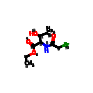 CCOC(=O)C(NC(=O)CBr)C(C)O